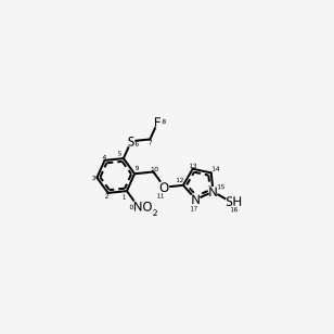 O=[N+]([O-])c1cccc(SCF)c1COc1ccn(S)n1